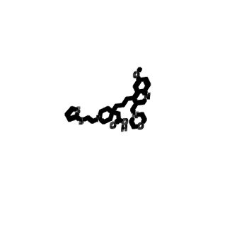 COc1ccc2ncc(CN3CCOCC3)c(CCCC3(CC(=O)O)CCN(CCSc4cccs4)CC3)c2c1